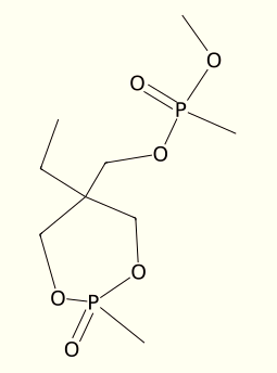 CCC1(COP(C)(=O)OC)COP(C)(=O)OC1